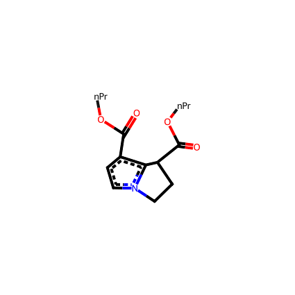 CCCOC(=O)c1ccn2c1C(C(=O)OCCC)CC2